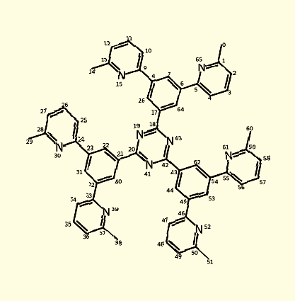 Cc1cccc(-c2cc(-c3cccc(C)n3)cc(-c3nc(-c4cc(-c5cccc(C)n5)cc(-c5cccc(C)n5)c4)nc(-c4cc(-c5cccc(C)n5)cc(-c5cccc(C)n5)c4)n3)c2)n1